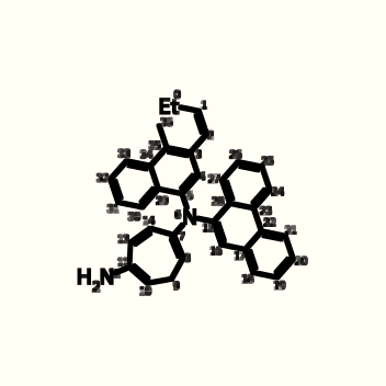 CC/C=C\c1cc(N(C2=CCC=C(N)C=C2)c2cc3ccccc3c3ccccc23)c2ccccc2c1C